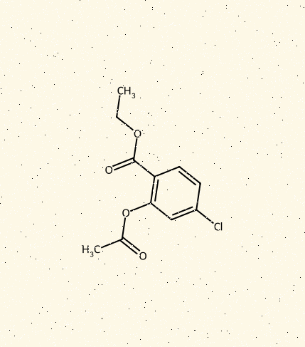 CCOC(=O)c1ccc(Cl)cc1OC(C)=O